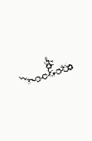 CCCCOC(=O)CCN1CCN(C2CCN(C(=O)[C@@H](Cc3cc(C)c4[nH]c(=O)oc4c3)OC(=O)N3CCC(N4CCc5ccccc5NC4=O)CC3)CC2)CC1